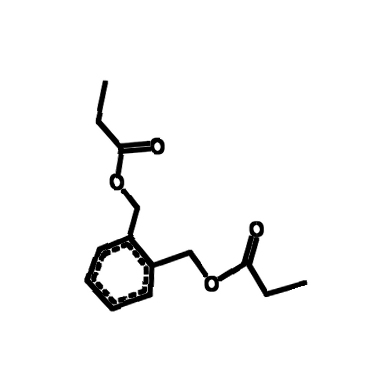 CCC(=O)OCc1ccccc1COC(=O)CC